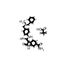 CCCC(Nc1ccc(CN(C)Cc2ccccc2)cc1)=C1C(=O)Nc2cc(C(N)=O)ccc21.O=C(O)C(F)(F)F